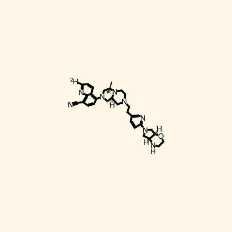 [2H]c1ccc2c(N3C[C@@H]4CN(CCc5ccc(N6C[C@H]7NCCO[C@@H]7C6)nc5)CCN4[C@H](C)C3)ccc(C#N)c2n1